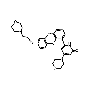 O=c1cc(N2CCOCC2)cc(-c2cccc3c2Sc2ccc(OCCN4CCOCC4)cc2S3)[nH]1